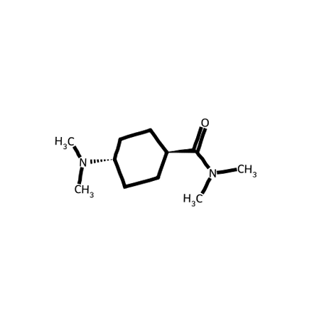 CN(C)C(=O)[C@H]1CC[C@H](N(C)C)CC1